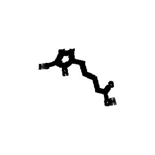 O=C(O)C=CC=Cc1nnc(S)[nH]1